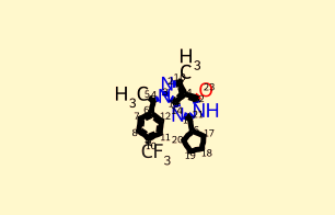 Cc1nn(C(C)c2ccc(C(F)(F)F)cc2)c2nc(C3CCCC3)[nH]c(=O)c12